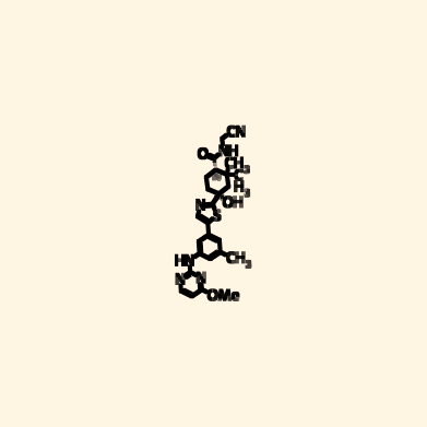 COc1ccnc(Nc2cc(C)cc(-c3cnc([C@@]4(O)CC[C@H](C(=O)NCC#N)C(C)(C)C4)s3)c2)n1